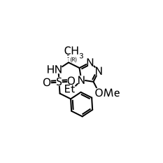 CCn1c(OC)nnc1[C@@H](C)NS(=O)(=O)Cc1ccccc1